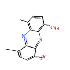 Cc1ccc(O)c2nc3c(Br)ccc(C)c3nc12